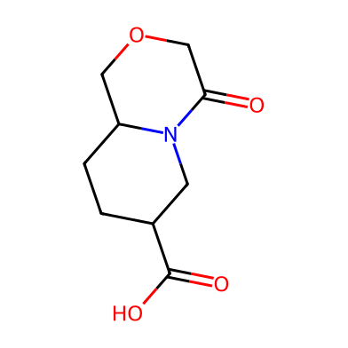 O=C(O)C1CCC2COCC(=O)N2C1